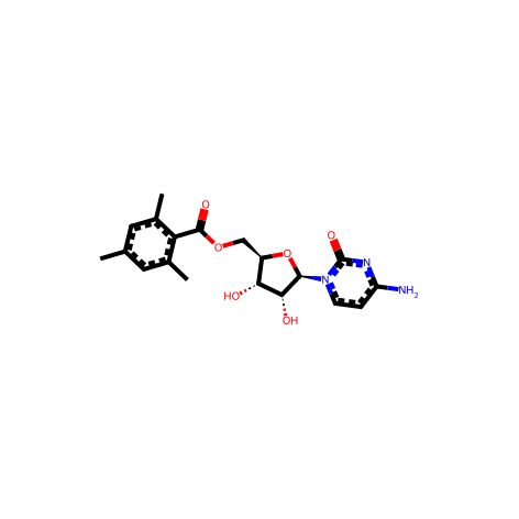 Cc1cc(C)c(C(=O)OC[C@H]2O[C@@H](n3ccc(N)nc3=O)[C@H](O)[C@@H]2O)c(C)c1